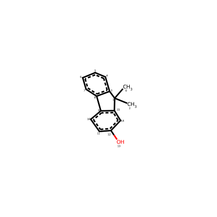 CC1(C)c2ccccc2-c2ccc(O)cc21